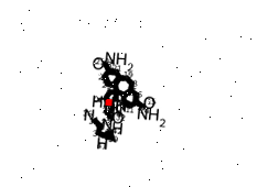 C[C@@H](CC1(c2nnn[nH]2)c2ccc(C(N)=O)cc2CCc2cc(C(N)=O)ccc21)NCC(=O)N1C(C#N)C[C@@H]2C[C@@H]21